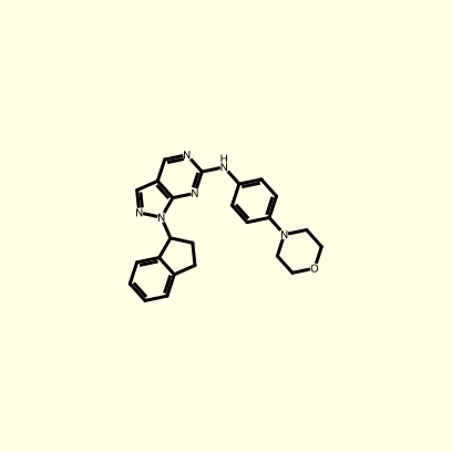 c1ccc2c(c1)CCC2n1ncc2cnc(Nc3ccc(N4CCOCC4)cc3)nc21